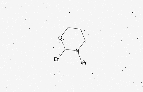 CCC1OCCCN1C(C)C